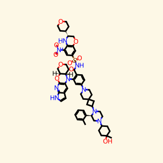 Cc1ccccc1[C@@H]1CN(C2CCC(C)(O)CC2)CCN1C1CC2(CCN(c3ccc(C(=O)NS(=O)(=O)c4cc5c(c([N+](=O)[O-])c4)N[C@H](C4CCOCC4)CO5)c(N4c5cc6cc[nH]c6nc5O[C@H]5COCC[C@@H]54)c3)CC2)C1